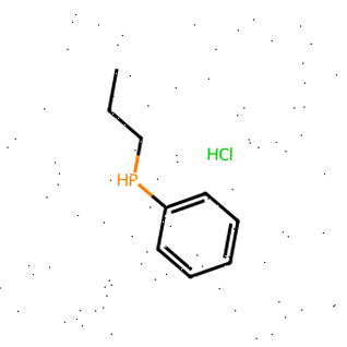 CCCPc1ccccc1.Cl